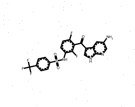 Nc1cnc2[nH]cc(C(=O)c3c(F)ccc(NS(=O)(=O)c4ccc(C(F)(F)F)cc4)c3F)c2c1